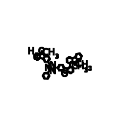 CC1(C)c2ccccc2-c2cc(-c3nc(-c4ccccc4)nc(-c4ccc5c(c4)oc4cccc(-c6cccc7c6C(C)(C)c6ccccc6-7)c45)n3)ccc21